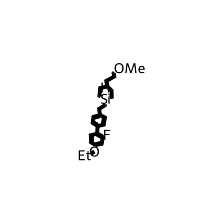 CCOc1ccc(-c2ccc(CC[SiH]3CCC(CCCOC)CC3)cc2)c(F)c1